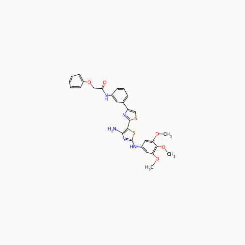 COc1cc(Nc2nc(N)c(-c3nc(-c4cccc(NC(=O)COc5ccccc5)c4)cs3)s2)cc(OC)c1OC